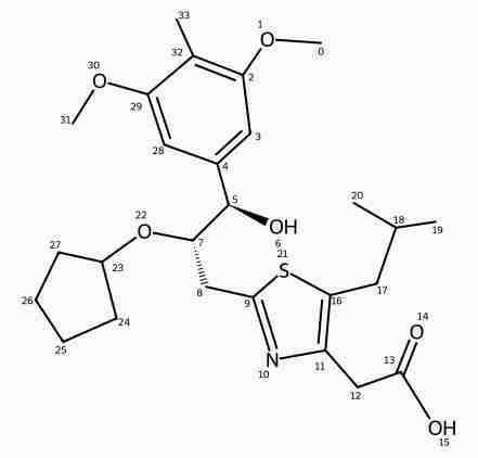 COc1cc([C@@H](O)[C@H](Cc2nc(CC(=O)O)c(CC(C)C)s2)OC2CCCC2)cc(OC)c1C